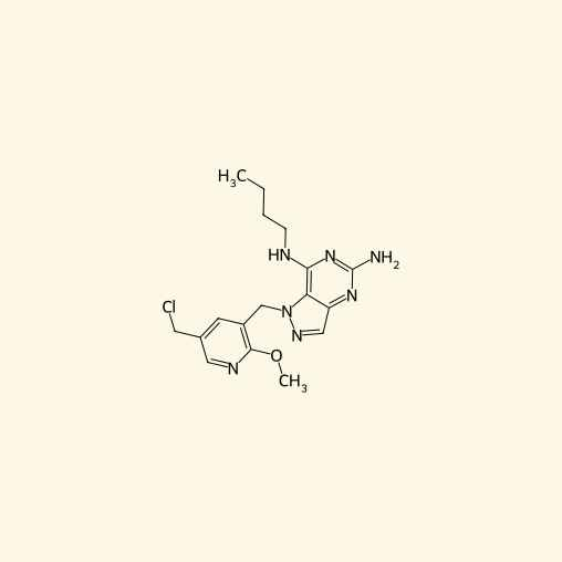 CCCCNc1nc(N)nc2cnn(Cc3cc(CCl)cnc3OC)c12